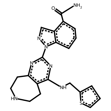 NC(=O)c1cccc2c1cnn2-c1nc2c(c(NCc3cccs3)n1)CCNCC2